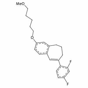 COCCCCCOc1ccc2c(c1)CCCC(c1ccc(F)cc1F)=C2